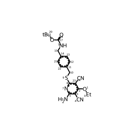 CCOc1c(C#N)c(N)nc(SCc2ccc(CNC(=O)OC(C)(C)C)cc2)c1C#N